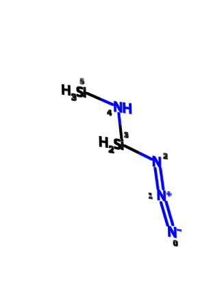 [N-]=[N+]=N[SiH2]N[SiH3]